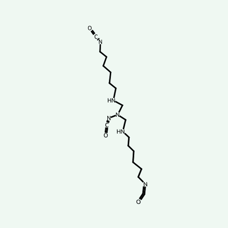 O=C=NCCCCCCNCN(CNCCCCCCN=C=O)N=C=O